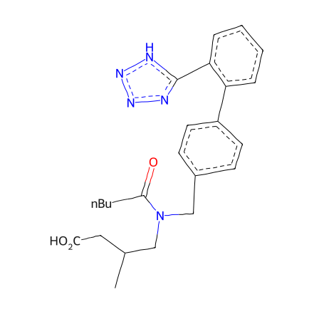 CCCCC(=O)N(Cc1ccc(-c2ccccc2-c2nnn[nH]2)cc1)CC(C)CC(=O)O